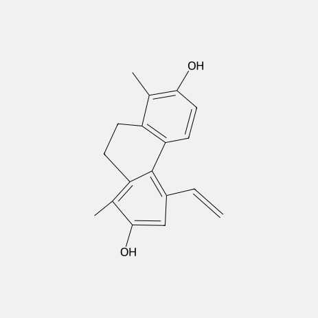 C=Cc1cc(O)c(C)c2c1-c1ccc(O)c(C)c1CC2